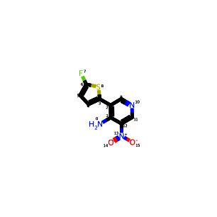 Nc1c(-c2ccc(F)s2)cncc1[N+](=O)[O-]